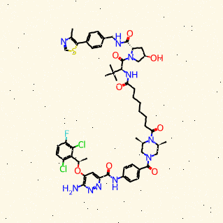 Cc1ncsc1-c1ccc(CNC(=O)[C@@H]2C[C@@H](O)CN2C(=O)[C@@H](NC(=O)CCCCCCC(=O)N2[C@H](C)CN(C(=O)c3ccc(NC(=O)c4cc(O[C@H](C)c5c(Cl)ccc(F)c5Cl)c(N)nn4)cc3)C[C@@H]2C)C(C)(C)C)cc1